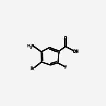 Nc1cc(C(=O)O)c(F)cc1Br